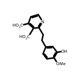 COc1ccc(CCc2nccc(C(=O)O)c2C(=O)O)cc1O